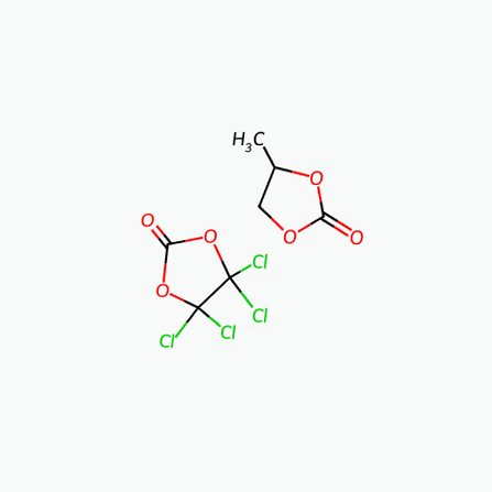 CC1COC(=O)O1.O=C1OC(Cl)(Cl)C(Cl)(Cl)O1